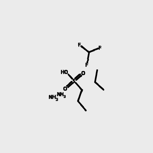 CCC.CCCS(=O)(=O)O.FC(F)F.N.N